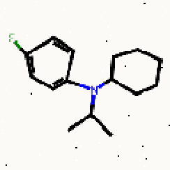 CC(C)N(c1ccc(F)cc1)C1CCCCC1